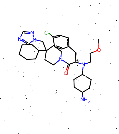 COCCN(C1CCC(N)CC1)[C@H](Cc1ccc(Cl)cc1)C(=O)N1CCC(Cn2cncn2)(C2CCCCC2)CC1